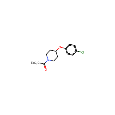 CCOC(=O)C(=O)N1CCC(Oc2ccc(Cl)cc2)CC1